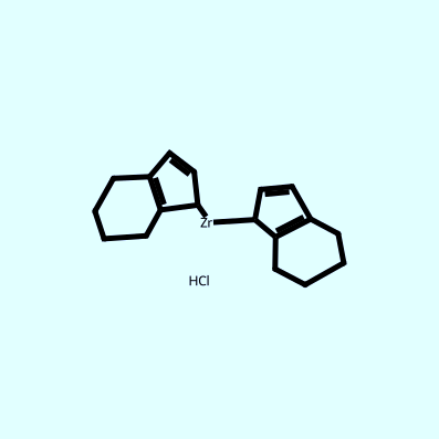 C1=C[CH]([Zr][CH]2C=CC3=C2CCCC3)C2=C1CCCC2.Cl